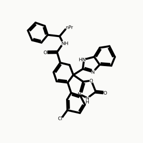 CCCC(NC(=O)C1=CC=C(c2cccc(Cl)c2)C(c2nc3ccccc3[nH]2)(c2n[nH]c(=O)o2)C1)c1ccccc1